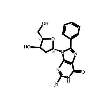 Nc1nc2c(nc(-c3ccccc3)n2[C@H]2CC(O)[C@@H](CO)O2)c(=O)[nH]1